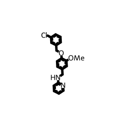 COc1cc(CNc2ccccn2)ccc1OCc1cccc(Cl)c1